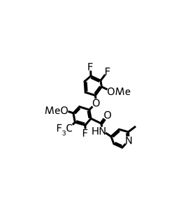 COc1cc(Oc2ccc(F)c(F)c2OC)c(C(=O)Nc2ccnc(C)c2)c(F)c1C(F)(F)F